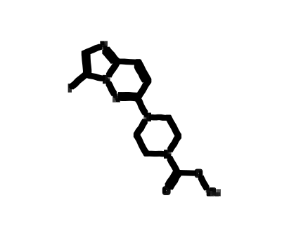 CC(C)(C)OC(=O)N1CCN(c2ccc3ncc(I)n3n2)CC1